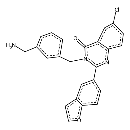 NCc1cccc(Cn2c(-c3ccc4occc4c3)nc3ccc(Cl)cc3c2=O)c1